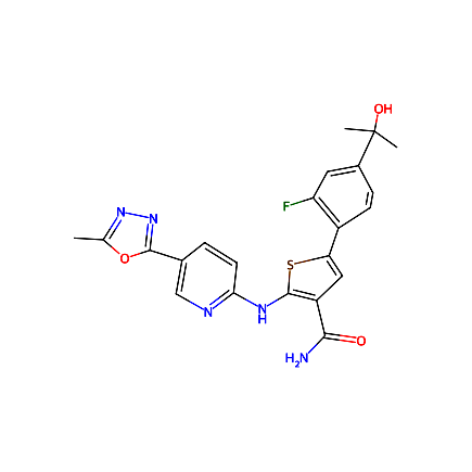 Cc1nnc(-c2ccc(Nc3sc(-c4ccc(C(C)(C)O)cc4F)cc3C(N)=O)nc2)o1